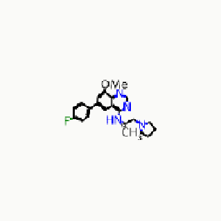 COc1cc(-c2ccc(F)cc2)cc2c(N[C@@H](C)CN3CCCC3)ncnc12